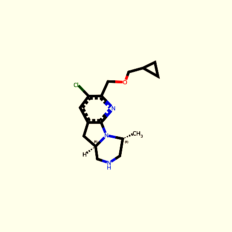 C[C@@H]1CNC[C@H]2Cc3cc(Cl)c(COCC4CC4)nc3N21